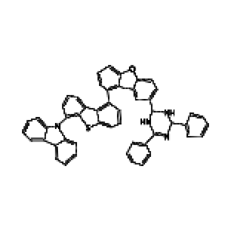 c1ccc(C2=NC(c3ccccc3)NC(c3ccc4oc5cccc(-c6cccc7sc8c(-n9c%10ccccc%10c%10ccccc%109)cccc8c67)c5c4c3)N2)cc1